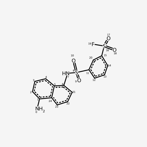 Nc1cccc2c(NS(=O)(=O)c3cccc(S(=O)(=O)F)c3)cccc12